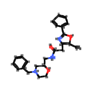 Cc1oc(-c2ccccc2)nc1CC(=O)NCC1CN(Cc2ccccc2)CCO1